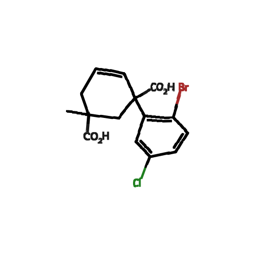 CC1(C(=O)O)CC=CC(C(=O)O)(c2cc(Cl)ccc2Br)C1